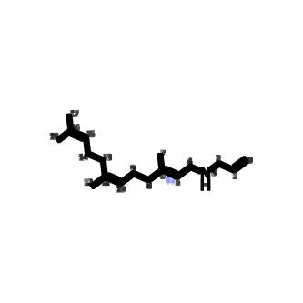 C=CCNC/C=C(\C)CCC=C(C)CCC=C(C)C